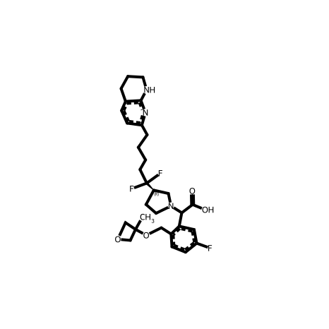 CC1(OCc2ccc(F)cc2C(C(=O)O)N2CC[C@@H](C(F)(F)CCCCc3ccc4c(n3)NCCC4)C2)COC1